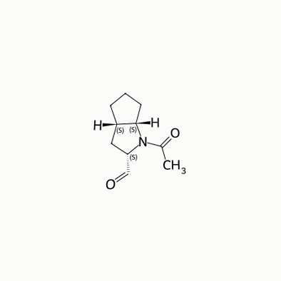 CC(=O)N1[C@H](C=O)C[C@@H]2CCC[C@@H]21